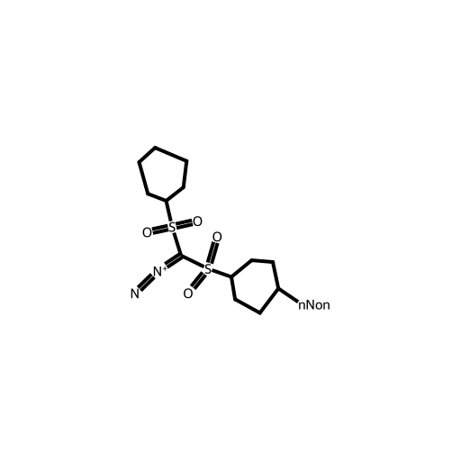 CCCCCCCCCC1CCC(S(=O)(=O)C(=[N+]=[N-])S(=O)(=O)C2CCCCC2)CC1